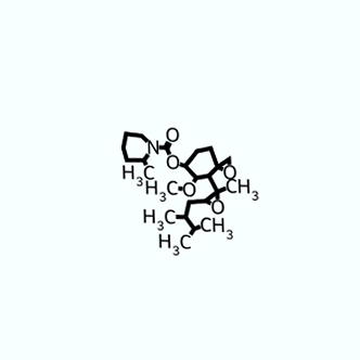 COC1C(OC(=O)N2CCCCC2C)CCC2(CO2)C1C1(C)OC1CC(C)C(C)C